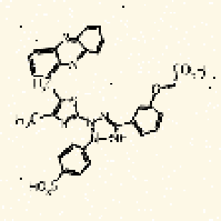 Cc1nc(N2N=C(c3cccc(OCC(=O)O)c3)NN2c2ccc(S(=O)(=O)O)cc2)sc1C.c1ccc2nc3ccccc3nc2c1